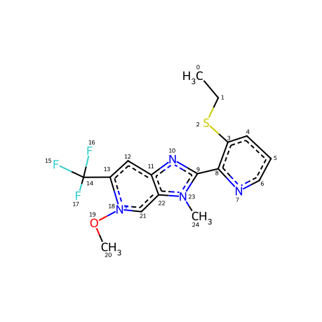 CCSc1cccnc1-c1nc2cc(C(F)(F)F)[n+](OC)cc2n1C